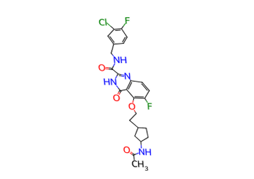 CC(=O)NC1CCC(CCOc2c(F)ccc3nc(C(=O)NCc4ccc(F)c(Cl)c4)[nH]c(=O)c23)C1